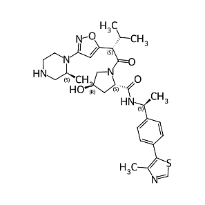 Cc1ncsc1-c1ccc([C@H](C)NC(=O)[C@@H]2C[C@@H](O)CN2C(=O)[C@H](c2cc(N3CCNC[C@@H]3C)no2)C(C)C)cc1